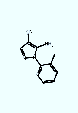 Cc1cccnc1-n1ncc(C#N)c1N